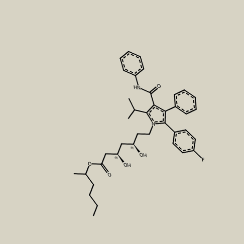 CCCCC(C)OC(=O)C[C@H](O)C[C@H](O)CCn1c(-c2ccc(F)cc2)c(-c2ccccc2)c(C(=O)Nc2ccccc2)c1C(C)C